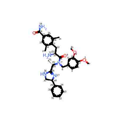 COc1ccc(CN(C(=O)[C@@H](N)Cc2c(C)cc(C(N)=O)cc2C)[C@@H](C)C2=NC(c3ccccc3)CN2)cc1OC